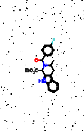 CCOC(=O)C1c2[nH]c3ccccc3c2CC(C)N1C(=O)c1ccc(F)cc1